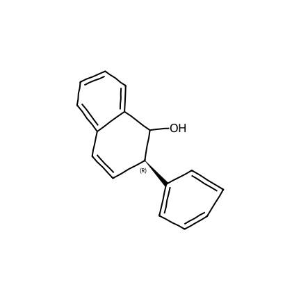 OC1c2ccccc2C=C[C@@H]1c1ccccc1